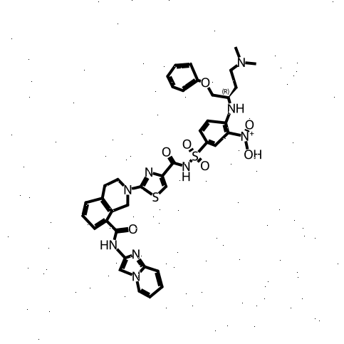 CN(C)CC[C@H](COc1ccccc1)Nc1ccc(S(=O)(=O)NC(=O)c2csc(N3CCc4cccc(C(=O)Nc5cn6ccccc6n5)c4C3)n2)cc1[N+](=O)O